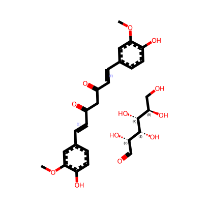 COc1cc(/C=C/C(=O)CC(=O)/C=C/c2ccc(O)c(OC)c2)ccc1O.O=C[C@H](O)[C@@H](O)[C@H](O)[C@H](O)CO